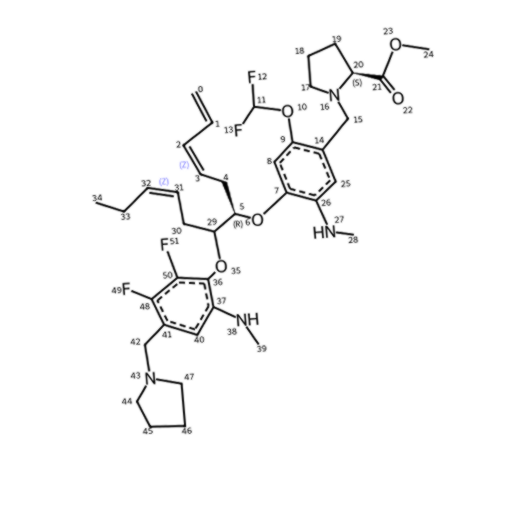 C=C/C=C\C[C@@H](Oc1cc(OC(F)F)c(CN2CCC[C@H]2C(=O)OC)cc1NC)C(C/C=C\CC)Oc1c(NC)cc(CN2CCCC2)c(F)c1F